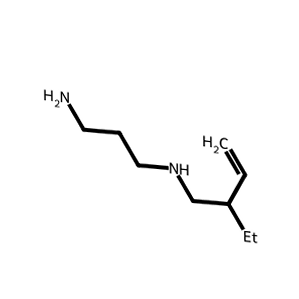 C=CC(CC)CNCCCN